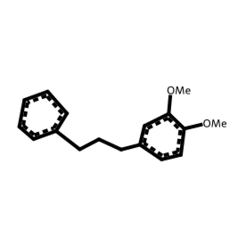 COc1ccc(CCCc2ccccc2)cc1OC